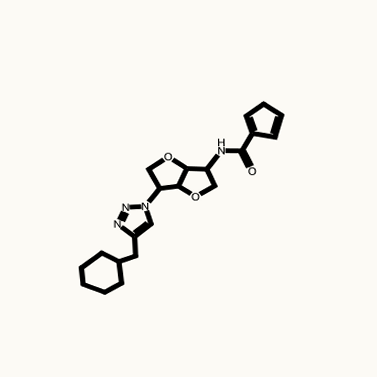 O=C(NC1COC2C1OCC2n1cc(CC2CCCCC2)nn1)C1=CCC=C1